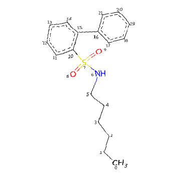 CCCCCCNS(=O)(=O)c1ccccc1-c1ccccc1